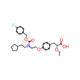 CCOC(Cc1ccc(OCCN(CCC2CCCC2)C(=O)OCc2ccc(F)cc2)cc1)C(=O)O